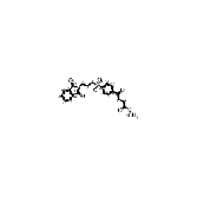 COC(=O)CCC(=O)c1ccc(S(=O)(=O)CCCN2C(=O)c3ccccc3C2=O)cc1